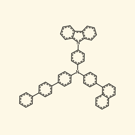 c1ccc(-c2ccc(-c3ccc(N(c4ccc(-c5cccc6ccccc56)cc4)c4ccc(-n5c6ccccc6c6ccccc65)cc4)cc3)cc2)cc1